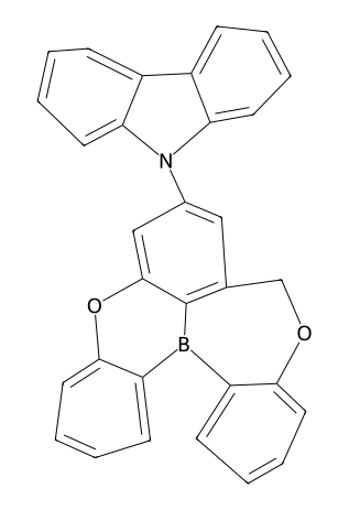 c1ccc2c(c1)OCc1cc(-n3c4ccccc4c4ccccc43)cc3c1B2c1ccccc1O3